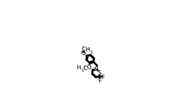 COc1ccc(CN2CC=CC(F)(F)S2)c(OC)c1